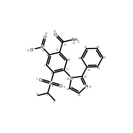 CC(C)S(=O)(=O)c1cc([N+](=O)[O-])c(C(N)=O)cc1-n1ccnc1-c1ccccc1